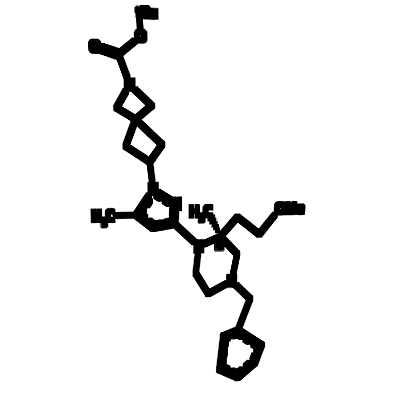 COCC[C@@]1(C)CN(Cc2ccccc2)CCN1c1cc(C)n(C2CC3(C2)CN(C(=O)OC(C)(C)C)C3)n1